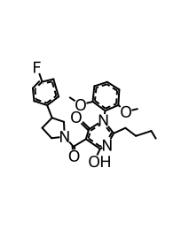 CCCCc1nc(O)c(C(=O)N2CCC(c3ccc(F)cc3)C2)c(=O)n1-c1c(OC)cccc1OC